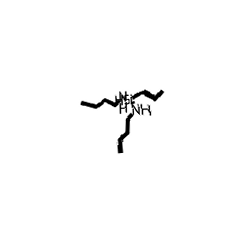 CC=C[SiH](NCCCC)NCCCC